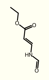 CCOC(=O)C=CNC=O